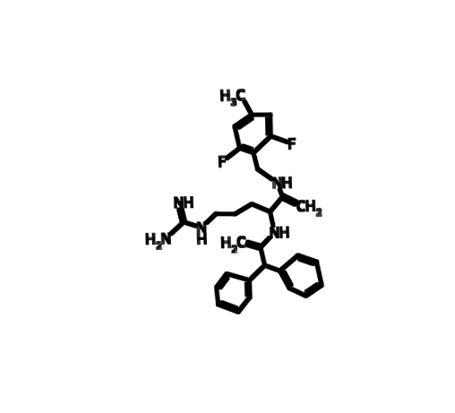 C=C(NCc1c(F)cc(C)cc1F)C(CCCNC(=N)N)NC(=C)C(c1ccccc1)c1ccccc1